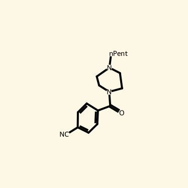 CCCCCN1CCN(C(=O)c2ccc(C#N)cc2)CC1